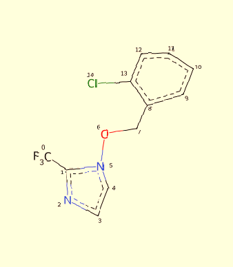 FC(F)(F)c1nccn1OCc1ccccc1Cl